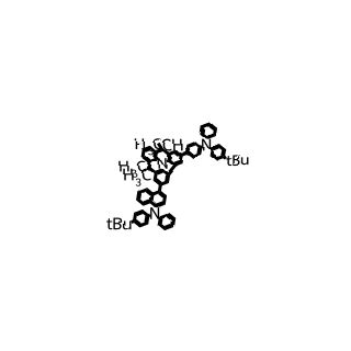 CC(C)(C)c1ccc(N(c2ccccc2)c2ccc(-c3cc4c5c(c3)c3cc(-c6ccc(N(c7ccccc7)c7ccc(C(C)(C)C)cc7)c7ccccc67)cc6c3n5-c3c(cccc3C6(C)C)C4(C)C)cc2)cc1